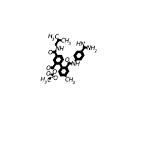 Cc1ccc(-c2ccc(C(=O)NCC(C)C)cc2C(=O)OS(C)(=O)=O)c(C(=O)Nc2ccc(C(=N)N)cc2)c1